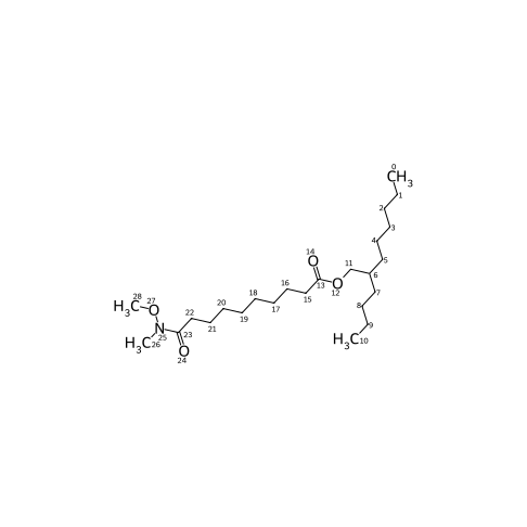 CCCCCCC(CCCC)COC(=O)CCCCCCCCC(=O)N(C)OC